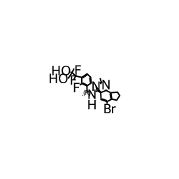 Cc1nc(N[C@H](C)c2cccc(C(F)(F)C(C)(O)CO)c2F)c2cc(Br)c3c(c2n1)CCC3